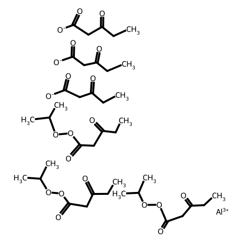 CCC(=O)CC(=O)OOC(C)C.CCC(=O)CC(=O)OOC(C)C.CCC(=O)CC(=O)OOC(C)C.CCC(=O)CC(=O)[O-].CCC(=O)CC(=O)[O-].CCC(=O)CC(=O)[O-].[Al+3]